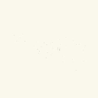 c1ccc(-c2ccc(-n3c4ccccc4c4c5c6ccccc6n(-c6cccc7c6Cc6c(-c8ccccc8)cccc6-7)c5ccc43)cc2)cc1